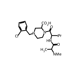 CNC(C)C(=O)NC(C(=O)N1CCN(Cc2ccccc2Cl)CC1C(=O)O)C(C)C